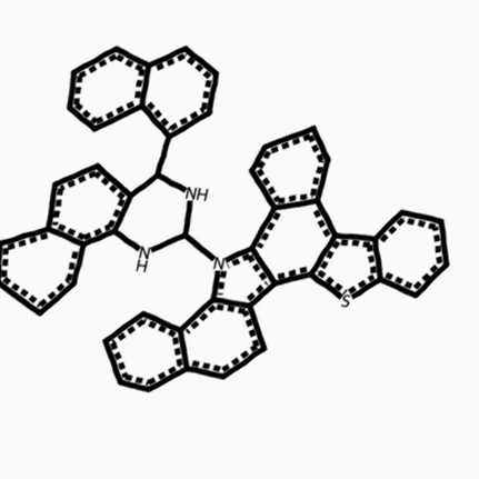 c1ccc2c(C3NC(n4c5c6ccccc6ccc5c5c6sc7ccccc7c6c6ccccc6c54)Nc4c3ccc3ccccc43)cccc2c1